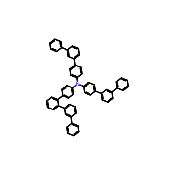 c1ccc(-c2cccc(-c3ccc(N(c4ccc(-c5cccc(-c6ccccc6)c5)cc4)c4ccc(-c5ccccc5-c5cccc(-c6ccccc6)c5)cc4)cc3)c2)cc1